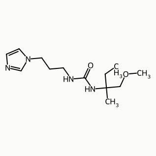 CCC(C)(COC)NC(=O)NCCCn1ccnc1